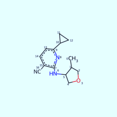 CC1COCC1Nc1nc(C2CC2)ccc1C#N